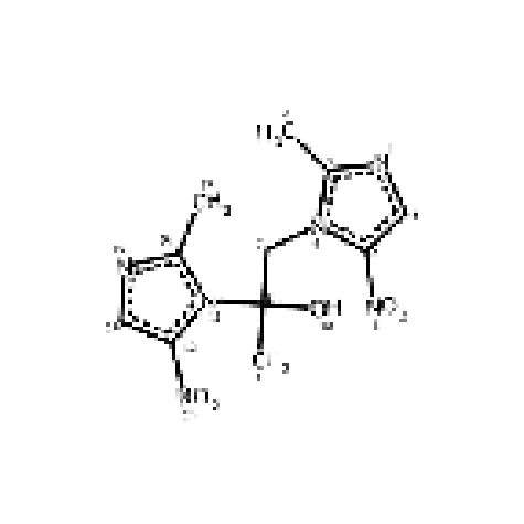 Cc1ncc([N+](=O)[O-])n1CC(C)(O)n1c([N+](=O)[O-])cnc1C